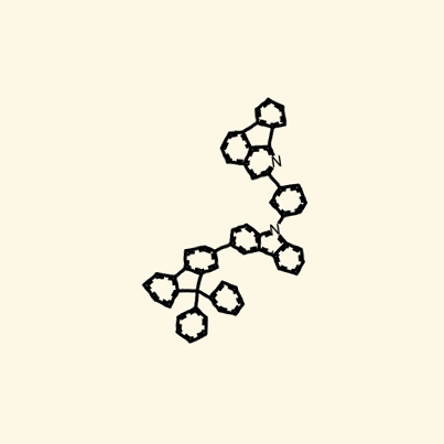 c1ccc(C2(c3ccccc3)c3ccccc3-c3ccc(-c4ccc5c(c4)c4ccccc4n5-c4cccc(-c5cc6cccc7c6c(n5)-c5ccccc5-7)c4)cc32)cc1